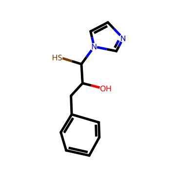 OC(Cc1ccccc1)C(S)n1ccnc1